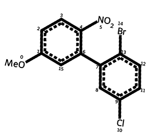 COc1[c]cc([N+](=O)[O-])c(-c2cc(Cl)ccc2Br)c1